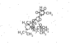 C=C(C)[C@@H]1CC[C@]2(C)SP(=S)(O[C@H]3C[C@H](n4cc(C)c(=O)[nH]c4=O)O[C@@H]3CO[Si](C)(C)C(C)(C)C)O[C@H]2C1